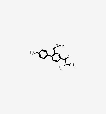 COCc1cc(C(=O)N(C)C)ccc1-c1ccc(C(F)(F)F)cc1